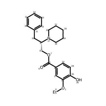 CCOc1cc(C(=O)OC[C@H](Cc2ccccc2)N2CCCCC2)ccc1O